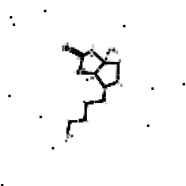 B[C@]12CS[C@@H](CCCCC(C)C)C1NC(=N)N2